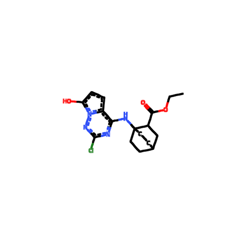 CCOC(=O)C1CC2CCC1(Nc1nc(Cl)nn3c(O)ccc13)CC2